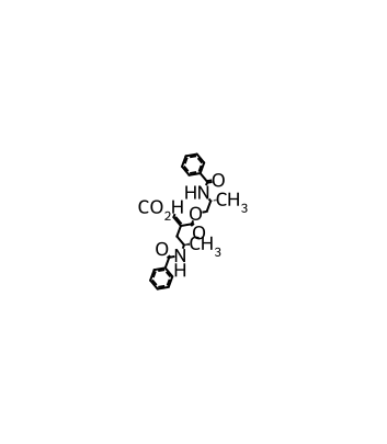 C[C@H](COC(=O)C(=CC(=O)O)C[C@@H](C)NC(=O)c1ccccc1)NC(=O)c1ccccc1